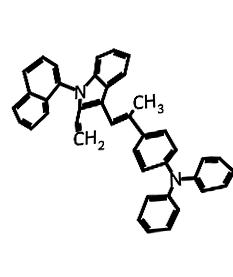 C=Cc1c(/C=C(\C)c2ccc(N(c3ccccc3)c3ccccc3)cc2)c2ccccc2n1-c1cccc2ccccc12